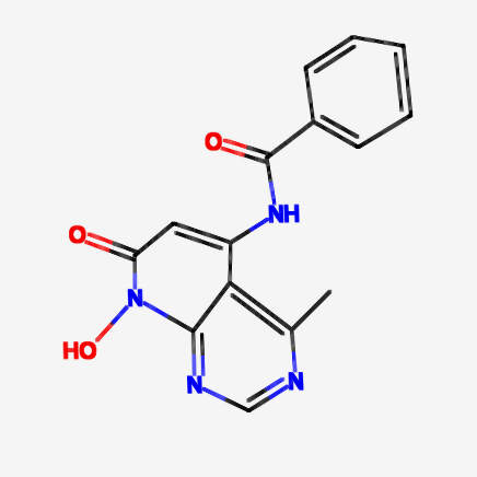 Cc1ncnc2c1c(NC(=O)c1ccccc1)cc(=O)n2O